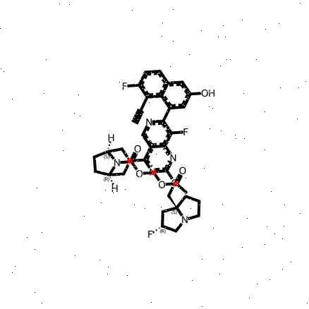 C#Cc1c(F)ccc2cc(O)cc(-c3ncc4c(N5C[C@H]6CC[C@@H](C5)N6C(=O)OCOC(C)=O)nc(OC[C@@]56CCCN5C[C@H](F)C6)nc4c3F)c12